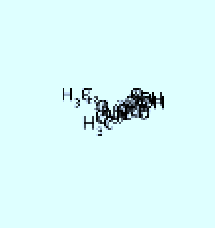 CCCCOC(=O)N[C@H](C)Cc1ccc2c(c1)OC(C(=O)O)(C(=O)O)O2